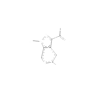 C=C(C)c1nn(C)c2cnc(Cl)cc12